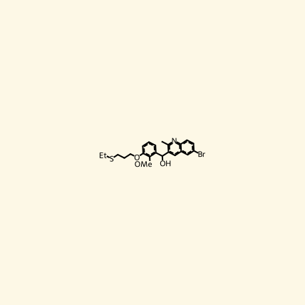 CCSCCCOc1cccc(C(O)c2cc3cc(Br)ccc3nc2C)c1OC